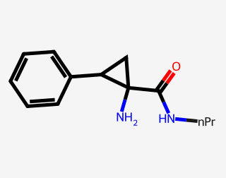 CCCNC(=O)C1(N)CC1c1ccccc1